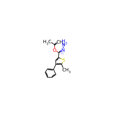 C=C(C)O/C(=N\N)c1cc(-c2ccccc2)c(C)s1